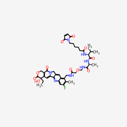 CC[C@@]1(O)C(=O)OCc2c1cc1n(c2=O)Cc2cc3c(CNC(=O)COCNC(=O)[C@H](C)NC(=O)[C@@H](NC(=O)CCCCCN4C(=O)C=CC4=O)C(C)C)c(C)c(F)cc3nc2-1